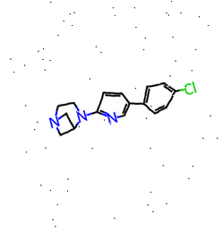 Clc1ccc(-c2ccc(N3CCN4CC3C4)nc2)cc1